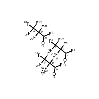 [Al+3].[O-]C(F)C(F)(F)C(F)(F)F.[O-]C(F)C(F)(F)C(F)(F)F.[O-]C(F)C(F)(F)C(F)(F)F